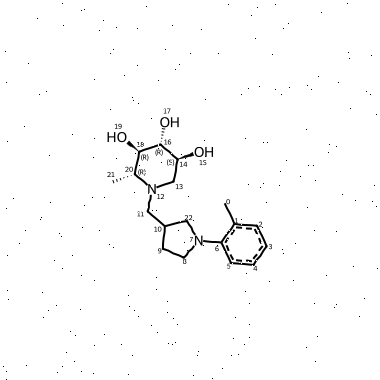 Cc1ccccc1N1CCC(CN2C[C@H](O)[C@@H](O)[C@H](O)[C@H]2C)C1